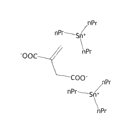 C=C(CC(=O)[O-])C(=O)[O-].CC[CH2][Sn+]([CH2]CC)[CH2]CC.CC[CH2][Sn+]([CH2]CC)[CH2]CC